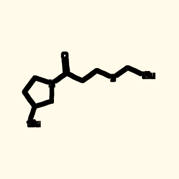 CC(C)(C)CSCCC(=O)N1CCC(C(C)(C)C)C1